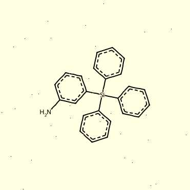 Nc1cccc([Si](c2ccccc2)(c2ccccc2)c2ccccc2)c1